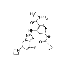 CN(P)C(=O)c1nnc(NC(=O)C2CC2)cc1Nc1nc2c(F)cc(N3CCC3)cn2n1